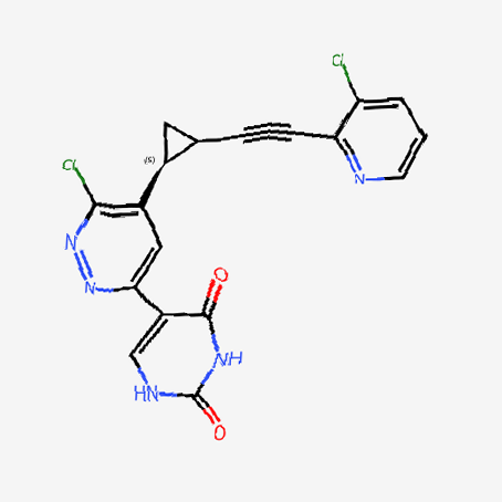 O=c1[nH]cc(-c2cc([C@H]3CC3C#Cc3ncccc3Cl)c(Cl)nn2)c(=O)[nH]1